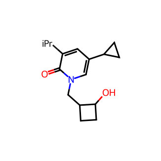 CC(C)c1cc(C2CC2)cn(CC2CCC2O)c1=O